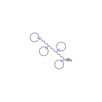 CCCCC(CCCCC(CCCCC(CCCCCN1CCCCCCCCCCC1)N1CCCCCCCCCCC1)N1CCCCCCCCCCC1)N1CCCCCCCCCCC1